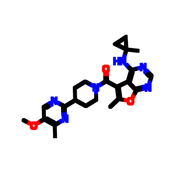 COc1cnc(C2CCN(C(=O)c3c(C)oc4ncnc(NC5(C)CC5)c34)CC2)nc1C